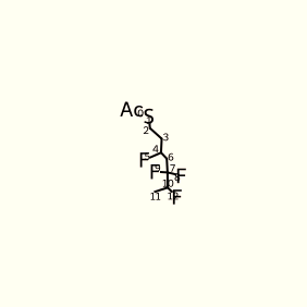 CC(=O)SCCC(F)CC(F)(F)C(C)F